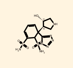 NS(=O)(=O)C1=CC=CC(c2nnn[nH]2)([C@@H]2CNC[C@H]2O)C1S(N)(=O)=O